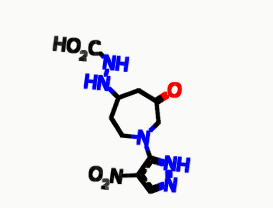 O=C1CC(NNC(=O)O)CCN(c2[nH]ncc2[N+](=O)[O-])C1